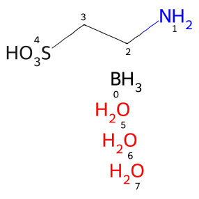 B.NCCS(=O)(=O)O.O.O.O